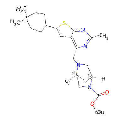 Cc1nc(CN2C[C@@H]3C[C@H]2CN3C(=O)OC(C)(C)C)c2cc(C3CCC(C)(C)CC3)sc2n1